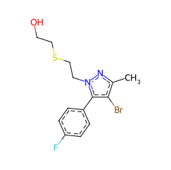 Cc1nn(CCSCCO)c(-c2ccc(F)cc2)c1Br